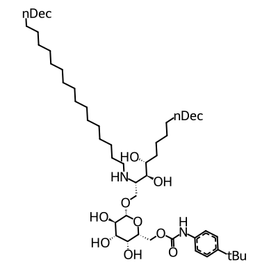 CCCCCCCCCCCCCCCCCCCCCCCCCCN[C@@H](CO[C@@H]1O[C@H](COC(=O)Nc2ccc(C(C)(C)C)cc2)[C@H](O)[C@H](O)[C@H]1O)[C@H](O)[C@H](O)CCCCCCCCCCCCCC